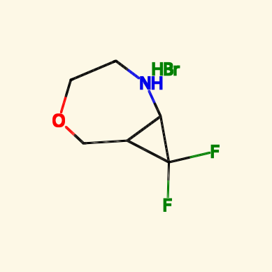 Br.FC1(F)C2COCCNC21